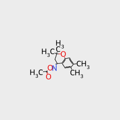 CC(=O)O/N=C1\CC(C)(C)Oc2cc(C)c(C)cc21